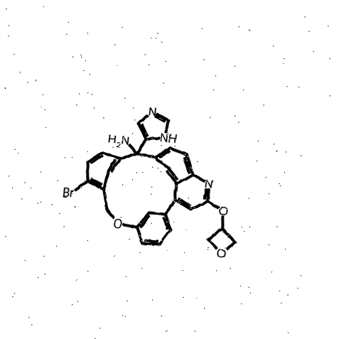 NC1(c2cnc[nH]2)c2ccc(Br)c(c2)COc2cccc(c2)-c2cc(OC3COC3)nc3ccc1cc23